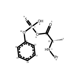 CC(C)N[C@@H](C)C(=O)OP(O)(=S)Oc1ccccc1